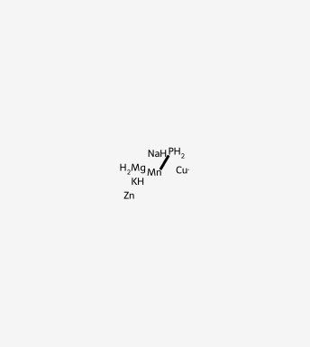 [Cu].[KH].[MgH2].[NaH].[PH2][Mn].[Zn]